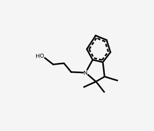 CC1c2ccccc2N(CCCO)C1(C)C